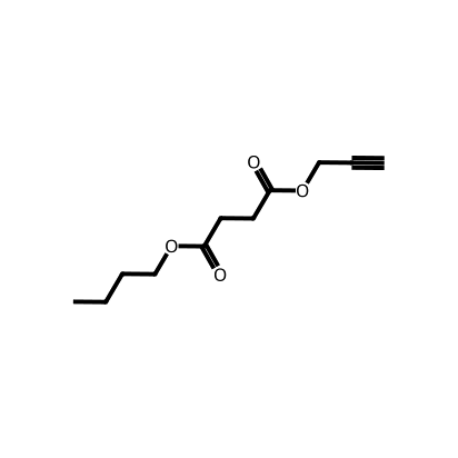 C#CCOC(=O)CCC(=O)OCCCC